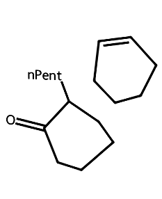 C1=CCCCC1.CCCCCC1CCCCC1=O